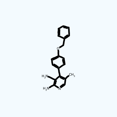 Cc1cnc(N)c(N)c1-c1ccc(OCc2ccccc2)cc1